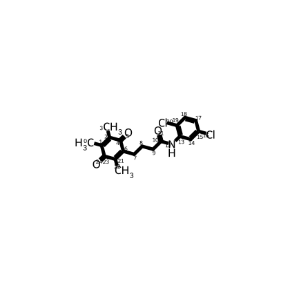 CC1=C(C)C(=O)C(CCCC(=O)Nc2cc(Cl)ccc2Cl)=C(C)C1=O